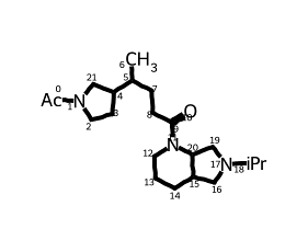 CC(=O)N1CCC(C(C)CCC(=O)N2CCCC3CN(C(C)C)CC32)C1